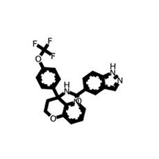 O=C(NC1(c2ccc(OC(F)(F)F)cc2)CCOc2cccnc21)c1ccc2[nH]ncc2c1